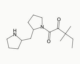 CCC(C)(C)C(=O)C(=O)N1CCCC1CC1CCCN1